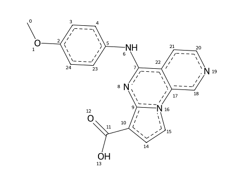 COc1ccc(Nc2nc3c(C(=O)O)ccn3c3cnccc23)cc1